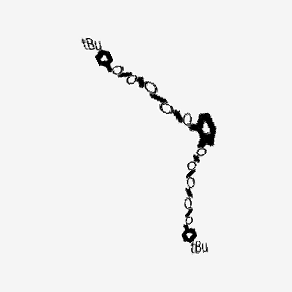 CC(C)(C)c1ccc(COCCOCCOCCOCCOCc2ccccc2COCCOCCOCCOCCOCc2ccc(C(C)(C)C)cc2)cc1